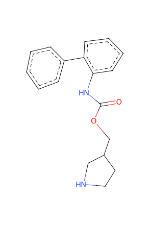 O=C(Nc1ccccc1-c1ccccc1)OCC1CCNC1